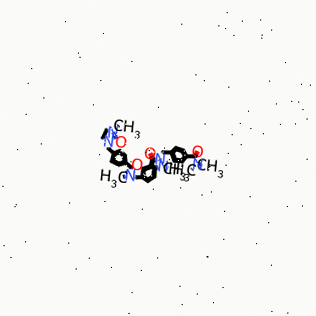 CN(C)C(=O)c1ccc(Cn2c(=O)c3cc(CN(C)C(=O)c4ccc(CN5CCN(C)C5=O)cc4)ccc3n2C)cc1